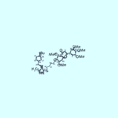 COc1cc(-c2cc(=O)c3c(OC)c(OCCCCSc4nnc(C)n4N=Cc4ccc(C(C)(C)C)cc4)c(OC)cc3o2)cc(OC)c1OC